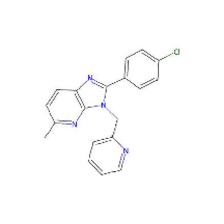 Cc1ccc2nc(-c3ccc(Cl)cc3)n(Cc3ccccn3)c2n1